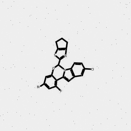 Fc1cc(Br)cc2c1-c1cc3cc(Cl)ccc3n1C(c1nc3c(s1)CCC3)O2